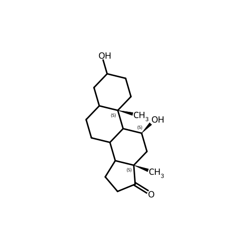 C[C@]12CCC(O)CC1CCC1C2[C@@H](O)C[C@]2(C)C(=O)CCC12